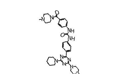 CN1CCN(C(=O)c2ccc(NC(=O)Nc3ccc(-c4nc(N5CCCCC5)nc(N5CCOCC5)n4)cc3)cc2)CC1